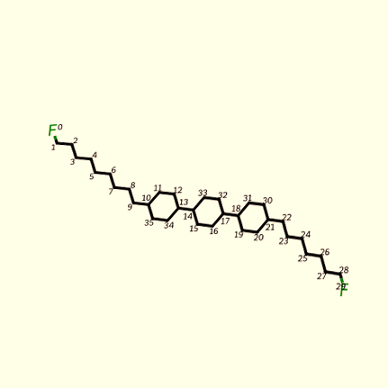 FCCCCCCCCCC1CCC(C2CCC(C3CCC(CCCCCCCF)CC3)CC2)CC1